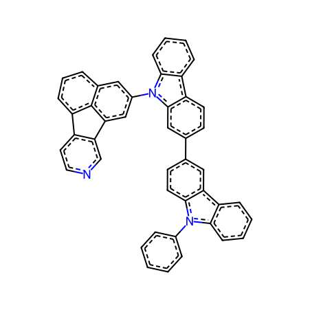 c1ccc(-n2c3ccccc3c3cc(-c4ccc5c6ccccc6n(-c6cc7c8c(cccc8c6)-c6ccncc6-7)c5c4)ccc32)cc1